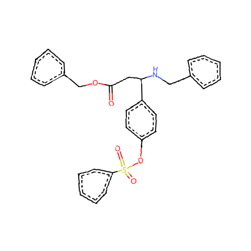 O=C(CC(NCc1ccccc1)c1ccc(OS(=O)(=O)c2ccccc2)cc1)OCc1ccccc1